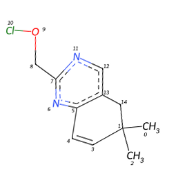 CC1(C)C=Cc2nc(COCl)ncc2C1